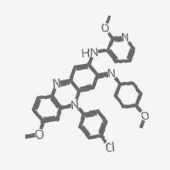 COc1ccc2nc3cc(Nc4cccnc4OC)c(=NC4CCC(OC)CC4)cc-3n(-c3ccc(Cl)cc3)c2c1